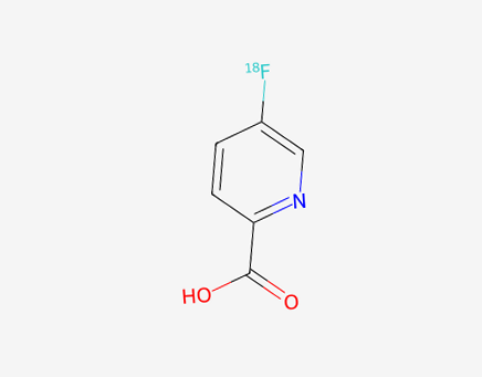 O=C(O)c1ccc([18F])cn1